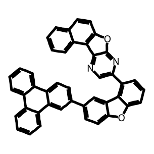 c1ccc2c(c1)ccc1oc3nc(-c4cccc5oc6ccc(-c7ccc8c9ccccc9c9ccccc9c8c7)cc6c45)cnc3c12